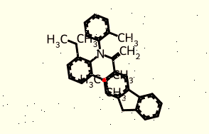 C=C(c1cc2c(cc1C)Cc1ccccc1-2)N(c1ccccc1C)c1c(C(C)C)cccc1C(C)C